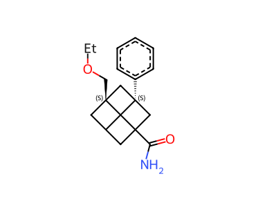 CCOC[C@@]12CC3CC4(C(N)=O)C[C@](c5ccccc5)(C1)C342